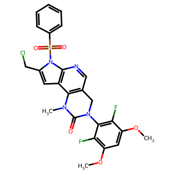 COc1cc(OC)c(F)c(N2Cc3cnc4c(cc(CCl)n4S(=O)(=O)c4ccccc4)c3N(C)C2=O)c1F